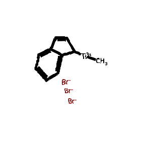 [Br-].[Br-].[Br-].[CH3][Ti+3][CH]1C=Cc2ccccc21